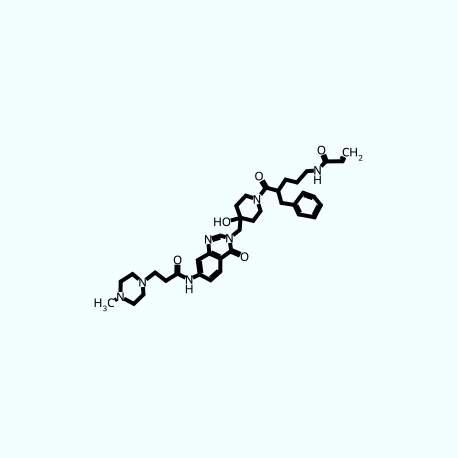 C=CC(=O)NCCCC(Cc1ccccc1)C(=O)N1CCC(O)(Cn2cnc3cc(NC(=O)CCN4CCN(C)CC4)ccc3c2=O)CC1